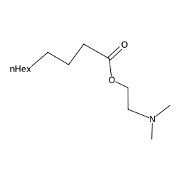 CCCCCCCCCC(=O)OCCN(C)C